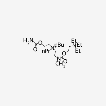 CCCC[N+](CCC)(CCOC(N)=O)CCN(C)C(=O)OCC[N+](CC)(CC)CC